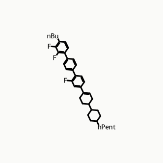 CCCCCC1CCC(C2CC=C(c3ccc(-c4ccc(-c5ccc(CCCC)c(F)c5F)cc4)c(F)c3)CC2)CC1